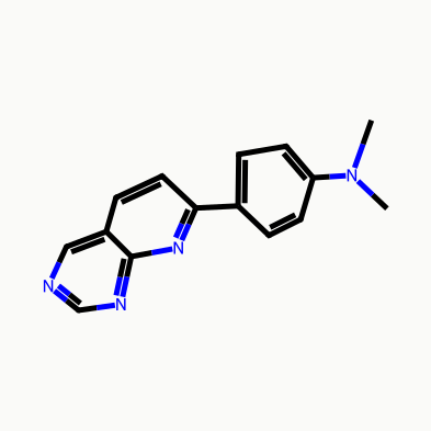 CN(C)c1ccc(-c2ccc3cncnc3n2)cc1